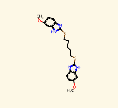 COc1ccc2nc(SCCCCCSc3nc4ccc(OC)cc4[nH]3)[nH]c2c1